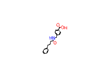 O=C(CCCc1ccccc1)NCc1ccc(C(=O)O)cc1